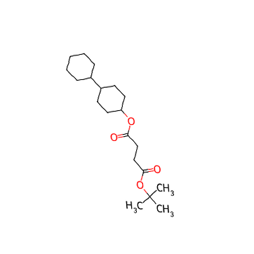 CC(C)(C)OC(=O)CCC(=O)OC1CCC(C2CCCCC2)CC1